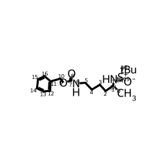 C[C@@H](CCCCNC(=O)OCc1ccccc1)N[S@+]([O-])C(C)(C)C